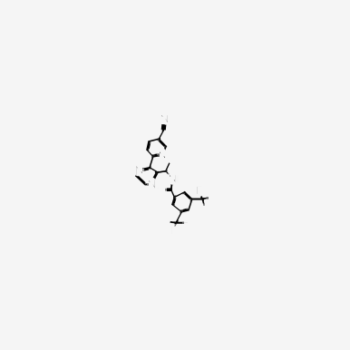 CC(NC(=O)c1cc(C(F)(F)F)cc(C(F)(F)F)c1)c1nccnc1-c1ccc(C#N)cn1